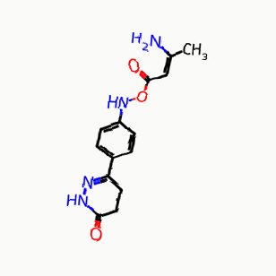 C/C(N)=C/C(=O)ONc1ccc(C2=NNC(=O)CC2)cc1